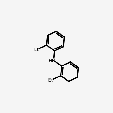 CCC1=C(Nc2ccccc2CC)C=CCC1